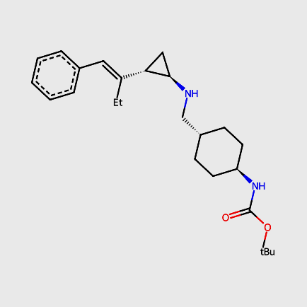 CC/C(=C\c1ccccc1)[C@@H]1C[C@H]1NC[C@H]1CC[C@H](NC(=O)OC(C)(C)C)CC1